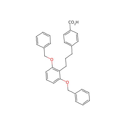 O=C(O)c1ccc(CCCc2c(OCc3ccccc3)cccc2OCc2ccccc2)cc1